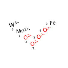 [Fe].[Mn+2].[O-2].[O-2].[O-2].[O-2].[W+6]